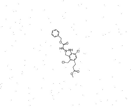 COC(=O)CCc1cc(Cl)c2c(c1CCl)CN(NC(=O)OCc1ccccc1)N2